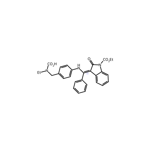 CCOC(=O)N1C(=O)/C(=C(\Nc2ccc(CN(CC)C(=O)O)cc2)c2ccccc2)c2ccccc21